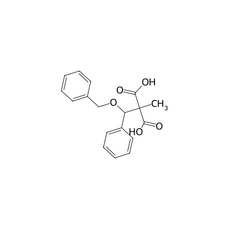 CC(C(=O)O)(C(=O)O)C(OCc1ccccc1)c1ccccc1